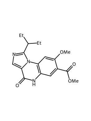 CCC(CC)c1ncc2c(=O)[nH]c3cc(C(=O)OC)c(OC)cc3n12